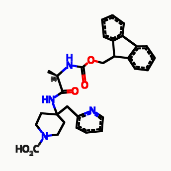 C[C@@H](NC(=O)OCC1c2ccccc2-c2ccccc21)C(=O)NC1(Cc2ccccn2)CCN(C(=O)O)CC1